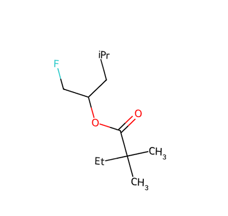 CCC(C)(C)C(=O)OC(CF)CC(C)C